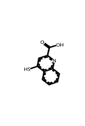 O=C(O)c1cc(S)c2ccccc2n1